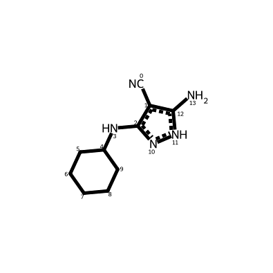 N#Cc1c(NC2CCCCC2)n[nH]c1N